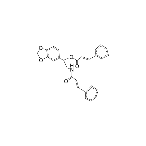 O=C(C=Cc1ccccc1)NCC(OC(=O)C=Cc1ccccc1)c1ccc2c(c1)OCO2